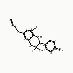 C=CCCc1cc(F)c2c(c1)CC(F)(F)C(c1ccc(F)cc1)O2